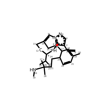 C=Cc1cnn2c1PC(C(C)F)CC/C(CNC1C=C(C)C=CC1CCC(C)(C)NC)=C/2